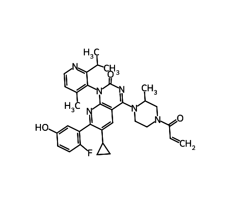 C=CC(=O)N1CCN(c2nc(=O)n(-c3c(C)ccnc3C(C)C)c3nc(-c4cc(O)ccc4F)c(C4CC4)cc23)C(C)C1